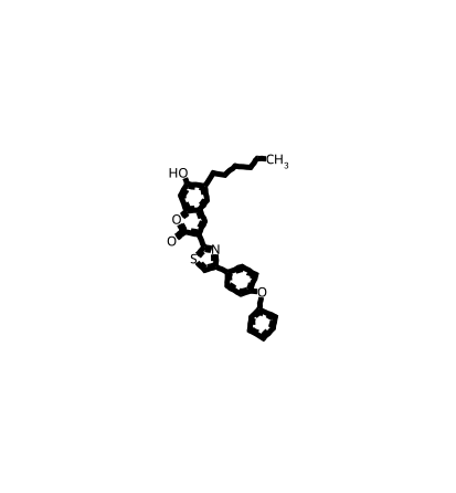 CCCCCCc1cc2cc(-c3nc(-c4ccc(Oc5ccccc5)cc4)cs3)c(=O)oc2cc1O